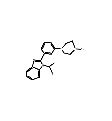 CN1CCN(c2cccc(-c3nc4ccccc4n3C(F)F)c2)CC1